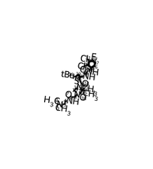 CN(C)CCNC(=O)CN1CCN(C(=O)c2sc(C(C)(C)C)cc2NC(=O)Nc2ccc(F)c(Cl)c2Cl)C(C)(C)C1=O